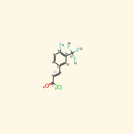 O=C(Cl)/C=C/c1ccc(F)c(C(F)(F)F)c1